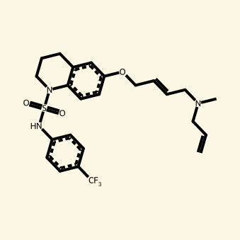 C=CCN(C)CC=CCOc1ccc2c(c1)CCCN2S(=O)(=O)Nc1ccc(C(F)(F)F)cc1